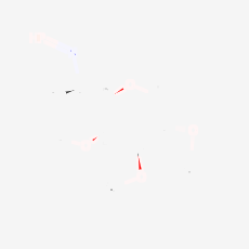 CC(=O)[C@@H](N=P)[C@H]1O[C@H](C)[C@H](O[Si](C)(C)C)[C@@H](O[Si](C)(C)C)[C@H]1O[Si](C)(C)C